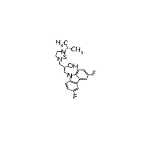 CC(C)N1CCN(CC(O)Cn2c3ccc(F)cc3c3cc(F)ccc32)S1